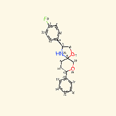 Fc1ccc([C@H]2COC3(CCC(c4ccccc4)OC3)N2)cc1